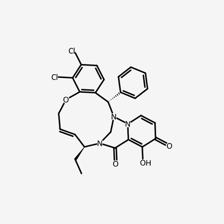 CC[C@H]1/C=C/COc2c(ccc(Cl)c2Cl)[C@H](c2ccccc2)N2CN1C(=O)c1c(O)c(=O)ccn12